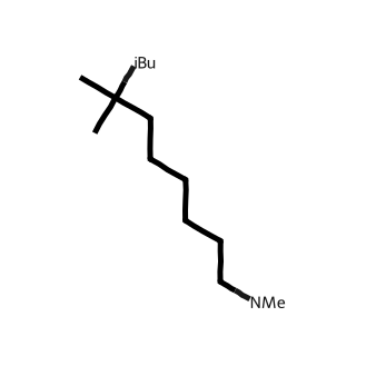 CCC(C)C(C)(C)CCCCCCNC